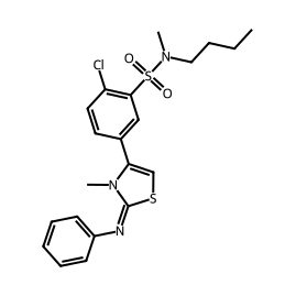 CCCCN(C)S(=O)(=O)c1cc(-c2csc(=Nc3ccccc3)n2C)ccc1Cl